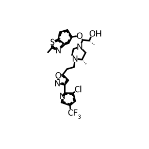 Cc1nc2cc(OC([C@@H](C)O)N3CCN(CCc4cc(-c5ncc(C(F)(F)F)cc5Cl)no4)[C@@H](C)C3)ccc2s1